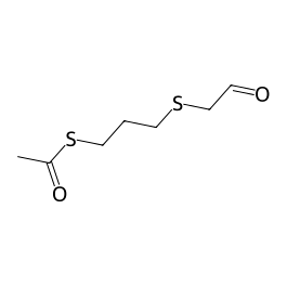 CC(=O)SCCCSCC=O